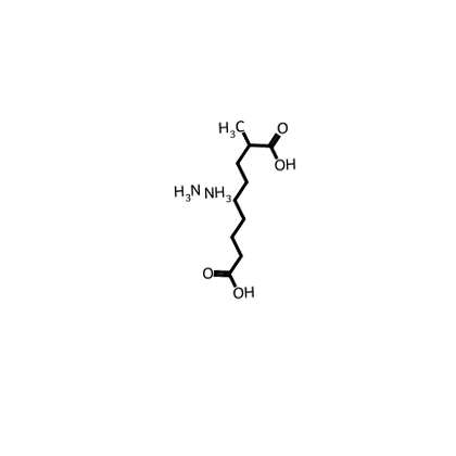 CC(CCCCCCC(=O)O)C(=O)O.N.N